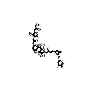 C=C1C[C@H](CCC(=O)C[C@@H]2O[C@H]3[C@@H](O)[C@H]4O[C@@H](CC(=O)C[C@@H]5[C@@H](OC)[C@@H](C[C@H](O)CO)O[C@H]5C)CC[C@@H]4O[C@H]3[C@H]2O)O[C@H]1CC[C@H]1C[C@@H](C)C(=C)[C@@H](C)O1